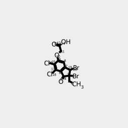 CCC1(Br)C(=O)c2c(cc(OCC(=O)O)c(Cl)c2Cl)C1Br